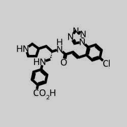 O=C(/C=C/c1cc(Cl)ccc1-n1cnnn1)N[C@H](CNc1ccc(C(=O)O)cc1)CC1CCNC1